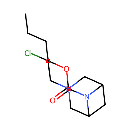 CCCCOC(=O)N1C2CC1CN(CCCl)C2